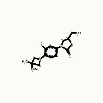 COC1(C)CN(c2ccc(N3CC(CO)OC3=O)cc2F)C1